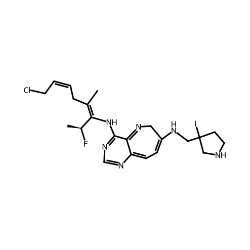 C/C(C/C=C\CCl)=C(\Nc1ncnc2c1=NCC(NCC1(I)CCNC1)=CC=2)[C@H](C)F